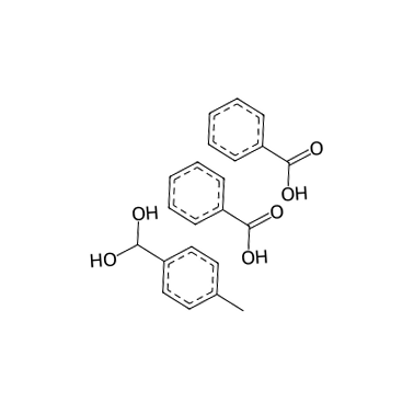 Cc1ccc(C(O)O)cc1.O=C(O)c1ccccc1.O=C(O)c1ccccc1